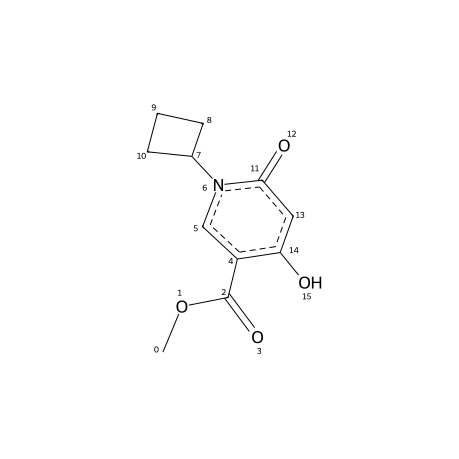 COC(=O)c1cn(C2CCC2)c(=O)cc1O